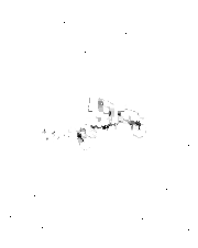 CCOC(OCC)[C@H]1CCCC(=O)N1CC#CCOCC(=O)OC